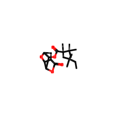 CCC(C)(C)CC(C)(C(=O)OC1C2CC3C(=O)OC1C3O2)C(C)(C)C